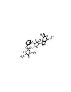 CCOc1nc(N)nc2c1ncn2[C@@H]1O[C@H](COP(=S)(N[C@H](C)C(=O)OC(C)C)Oc2ccccc2)[C@@H](O)[C@]1(F)Cl